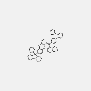 C1=CC2c3ccccc3C3(c4ccccc4-c4c3ccc3c4Oc4cccc(N(c5ccc(-c6ccccc6-c6ccccc6)cc5)c5cccc6ccccc56)c4O3)C2C=C1